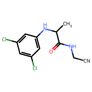 CC(Nc1cc(Cl)cc(Cl)c1)C(=O)NCC#N